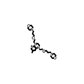 Cc1cnc2c(c1)N(CCOCCCN1CCOCC1)CCN2CCOCCCN1CCOCC1